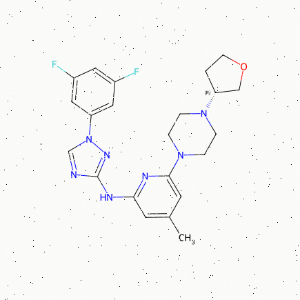 Cc1cc(Nc2ncn(-c3cc(F)cc(F)c3)n2)nc(N2CCN([C@@H]3CCOC3)CC2)c1